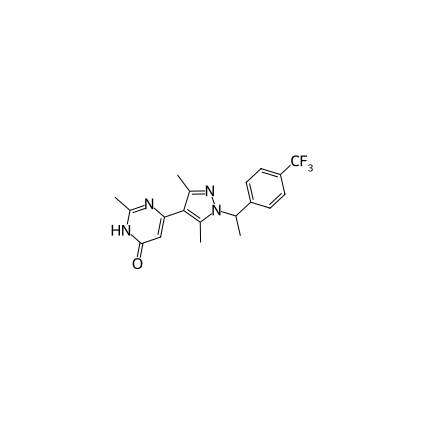 Cc1nc(-c2c(C)nn(C(C)c3ccc(C(F)(F)F)cc3)c2C)cc(=O)[nH]1